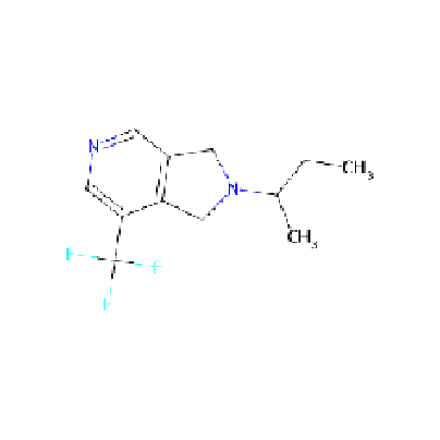 CCC(C)N1Cc2cncc(C(F)(F)F)c2C1